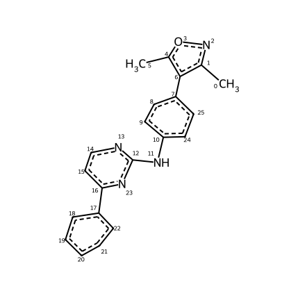 Cc1noc(C)c1-c1ccc(Nc2nccc(-c3ccccc3)n2)cc1